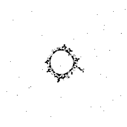 C/C=C/C[C@@H](C)[C@@H](O)[C@H]1C(=O)N[C@@H](CC)C(=O)N(C)[C@@H](CSCCN(C)C)C(=O)N(C)[C@@H](CC(C)C)C(=O)N[C@@H](C(C)C)C(=O)N(C)[C@@H](CC(C)C)C(=O)N[C@@H](C)C(=O)N[C@@H](C)C(=O)N(C)[C@@H](CC(C)C)C(=O)N(C)[C@@H](CC(C)C)C(=O)N(C)[C@@H](C(C)C)C(=O)N1C